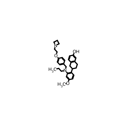 CCCN(Cc1ccc(OCCN2CCC2)cc1)c1cc(OC)ccc1C1CCc2cc(O)ccc2C1